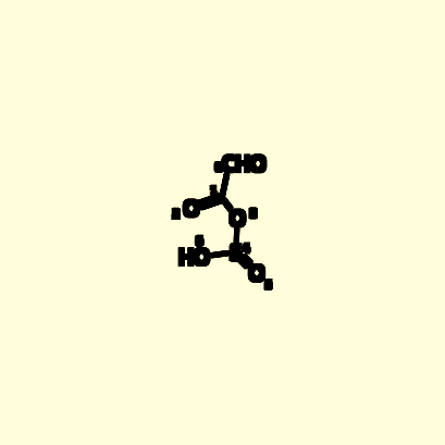 O=CC(=O)OS(=O)O